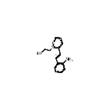 Nc1ccccc1/C=C/c1cccc[n+]1CCS